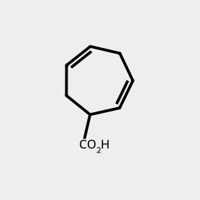 O=C(O)C1C=CCC=CC1